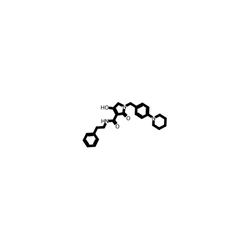 O=C(NCCc1ccccc1)C1=C(O)CN(Cc2ccc(N3CCCCC3)cc2)C1=O